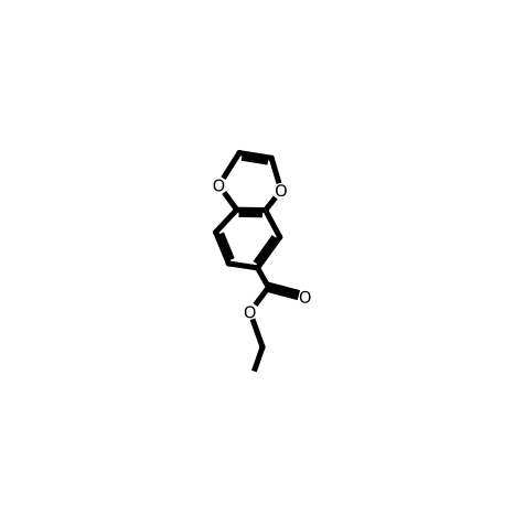 CCOC(=O)c1ccc2c(c1)OC=CO2